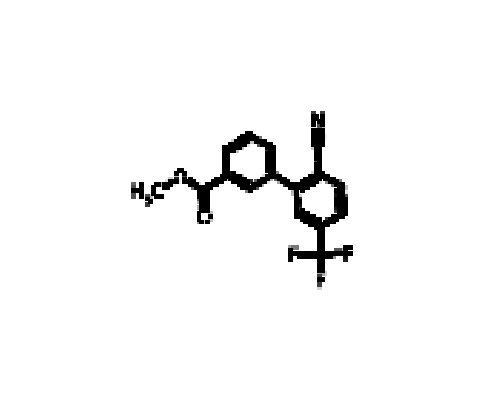 COC(=O)c1cccc(-c2cc(C(F)(F)F)ccc2C#N)c1